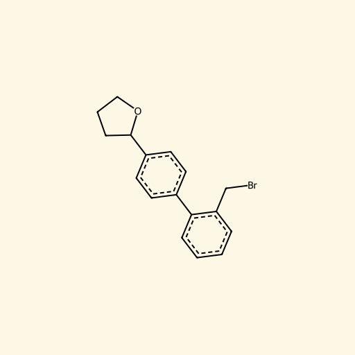 BrCc1ccccc1-c1ccc(C2CCCO2)cc1